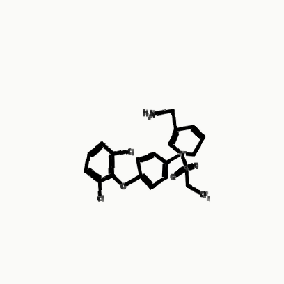 NCC1=C[N+](c2ccc(Oc3c(Cl)cccc3Cl)cc2)(S(=O)(=O)CC(F)(F)F)CC=C1